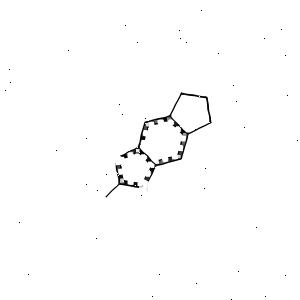 Sc1nc2cc3c(cc2s1)CCC3